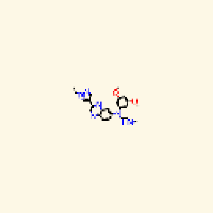 CCn1cc(-c2cnc3ccc(N(CCNC)c4cc(OC)cc(OC)c4)cc3n2)cn1